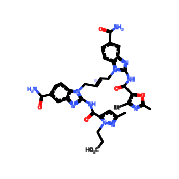 CCc1nc(C)oc1C(=O)Nc1nc2cc(C(N)=O)ccc2n1C/C=C/Cn1c(NC(=O)c2cc(C)nn2CCC(=O)O)nc2cc(C(N)=O)ccc21